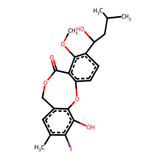 COc1c(C(O)CC(C)C)ccc2c1C(=O)OCc1cc(C)c(I)c(O)c1O2